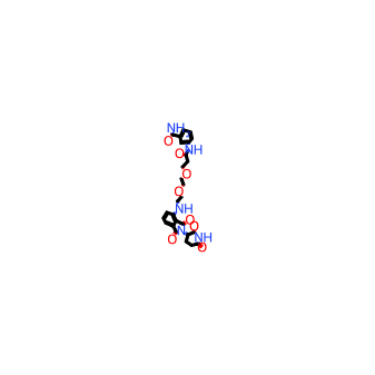 NC(=O)c1cccc(NC(=O)CCOCCOCCNc2cccc3c2C(=O)N(C2CCC(=O)NC2=O)C3=O)c1